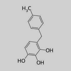 Cc1ccc(Cc2ccc(O)c(O)c2O)cc1